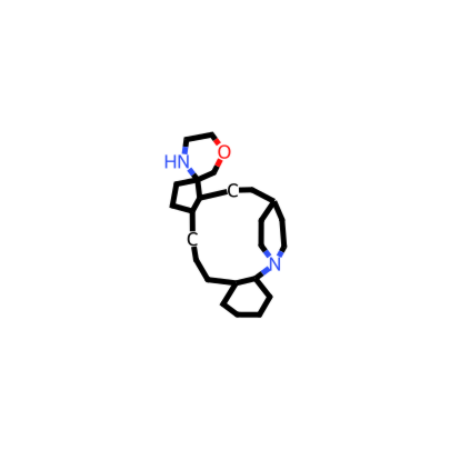 C1CCC2C(C1)CCCC1CCC3(COCCN3)C1CCC1CCN2CC1